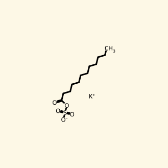 CCCCCCCCCCCC(=O)OS(=O)(=O)[O-].[K+]